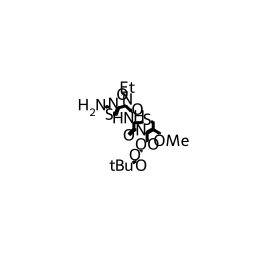 CCO/N=C(/C(=O)NC1C(=O)N2C(C(=O)OCOC(=O)C(C)(C)C)=C(COC)CS[C@H]12)c1csc(N)n1